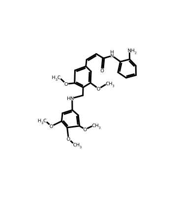 COc1cc(/C=C\C(=O)Nc2ccccc2N)cc(OC)c1CNc1cc(OC)c(OC)c(OC)c1